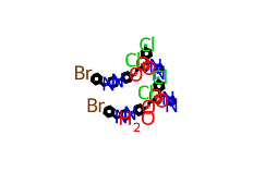 Clc1ccc(C2(Cn3ccnc3)OCC(COc3ccc(N4CCN(Cc5ccc(Br)cc5)CC4)cc3)O2)c(Cl)c1.Clc1ccc(C2(Cn3ccnc3)OCC(COc3ccc(N4CCN(Cc5ccc(Br)cc5)CC4)cc3)O2)c(Cl)c1.O